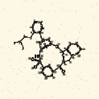 CC(C)CCc1ccccc1-c1cc2nc(n1)NS(=O)(=O)c1cccc(c1)C(=O)N1Cc3ccccc3C(C1)O2